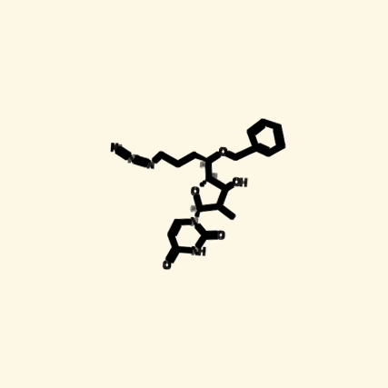 CC1C(O)[C@@H]([C@@H](CCCN=[N+]=[N-])OCc2ccccc2)O[C@H]1n1ccc(=O)[nH]c1=O